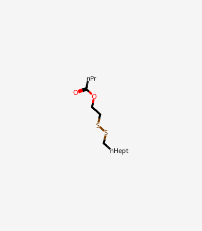 CCCCCCCCSSCCOC(=O)CCC